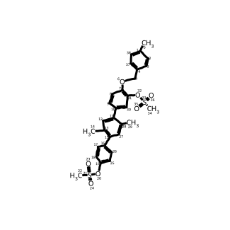 Cc1ccc(COc2ccc(-c3cc(C)c(-c4ccc(OS(C)(=O)=O)cc4)cc3C)cc2OS(C)(=O)=O)cc1